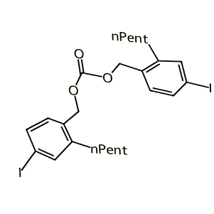 CCCCCc1cc(I)ccc1COC(=O)OCc1ccc(I)cc1CCCCC